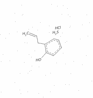 C=CCc1ccccc1O.Cl.S